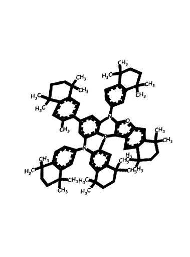 Cc1cc2c(cc1-c1cc3c4c(c1)N(c1ccc5c(c1)C(C)(C)CCC5(C)C)c1oc5cc6c(cc5c1B4c1cc4c(cc1N3c1ccc3c(c1)C(C)(C)CCC3(C)C)C(C)(C)CCC4(C)C)C(C)(C)CCC6(C)C)C(C)(C)CCC2(C)C